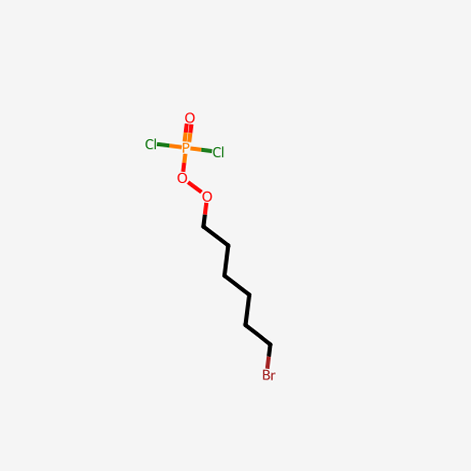 O=P(Cl)(Cl)OOCCCCCCBr